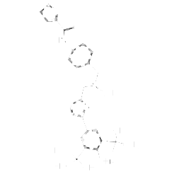 CN(Cc1ccc(NC(=O)c2cccs2)cc1)Cc1nc(-c2cc(C(C)(C)C)c(O)c(C(C)(C)C)c2)cs1